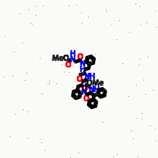 COC(=O)NCC(=O)Nc1ccccc1CC[C@@H]1CO[C@H](CCc2ccccc2NC(=O)[C@@H](NC(=O)OC)C(c2ccccc2)c2ccccc2)CN1